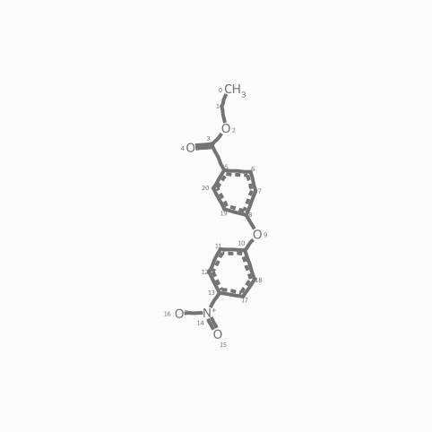 CCOC(=O)c1ccc(Oc2ccc([N+](=O)[O-])cc2)cc1